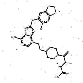 C[C@H](NC(=O)O)C(=O)N1CCC(CCn2cnc(N)c3nc(Sc4cc5c(cc4Br)OCO5)nc2-3)CC1